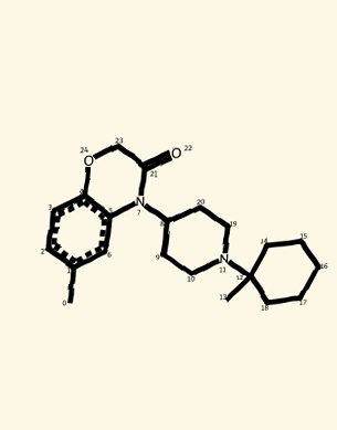 Cc1ccc2c(c1)N(C1CCN(C3(C)CCCCC3)CC1)C(=O)CO2